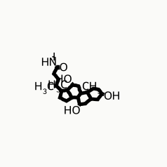 CC(CCC(=O)NI)C1CCC2C3C(O)CC4CC(O)CCC4(C)C3CC(O)C12C